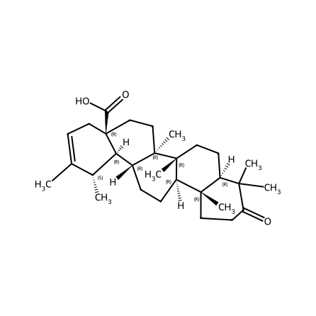 CC1=CC[C@]2(C(=O)O)CC[C@]3(C)[C@H](CC[C@@H]4[C@@]5(C)CCC(=O)C(C)(C)[C@@H]5CC[C@]43C)[C@H]2[C@@H]1C